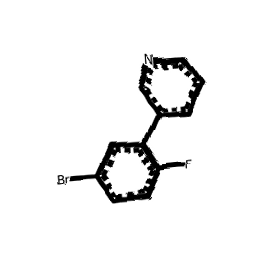 Fc1ccc(Br)cc1-c1cccnc1